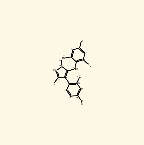 Cc1cc(F)c(Nc2c(-c3ccc(F)cc3Cl)c(C)nn2C)c(Br)c1